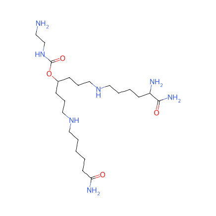 NCCNC(=O)OC(CCCNCCCCCC(N)=O)CCCNCCCCC(N)C(N)=O